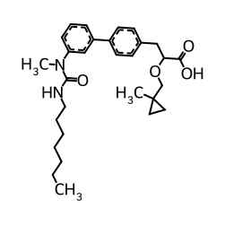 CCCCCCCNC(=O)N(C)c1cccc(-c2ccc(CC(OCC3(C)CC3)C(=O)O)cc2)c1